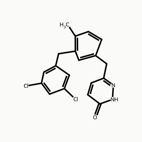 Cc1ccc(Cc2ccc(=O)[nH]n2)cc1Cc1cc(Cl)cc(Cl)c1